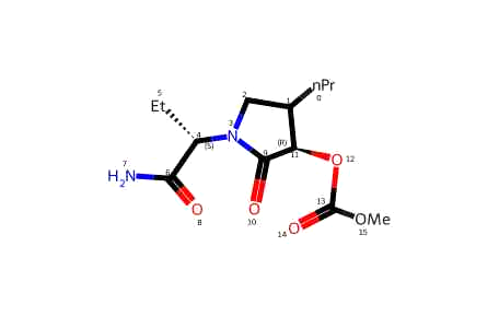 CCCC1CN([C@@H](CC)C(N)=O)C(=O)[C@@H]1OC(=O)OC